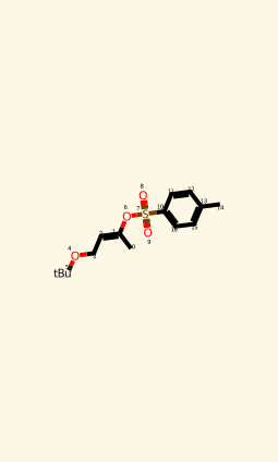 C/C(=C\COC(C)(C)C)OS(=O)(=O)c1ccc(C)cc1